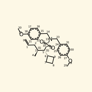 C=CC[C@H](C)[C@@H](C1CCC1)S(=O)(=O)N(Cc1ccc(OC)cc1)Cc1ccc(OC)cc1